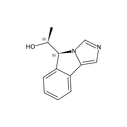 C[C@H](O)[C@@H]1c2ccccc2-c2cncn21